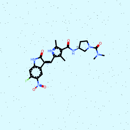 Cc1[nH]c(/C=C2\C(=O)Nc3cc(F)c([N+](=O)[O-])cc32)c(C)c1C(=O)N[C@H]1CCN(C(=O)N(C)C)C1